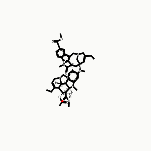 CCC1=C[C@H]2CN(C1)Cc1c([nH]c3ccc(C(=O)OC)cc13)[C@@](C(=O)OC)(c1cc3c(cc1OC)N(C)[C@H]1[C@@](O)(C(=O)OC)[C@H](OC(C)=O)C4C(CC)=CCN5CC[C@]31[C@H]45)C2